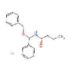 CCCC(=O)NC(OCc1ccccc1)c1ccccc1.I